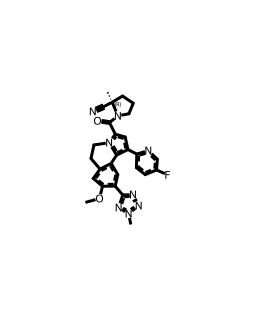 COc1cc2c(cc1-c1nnn(C)n1)-c1c(-c3ccc(F)cn3)cc(C(=O)N3CCC[C@]3(C)C#N)n1CC2